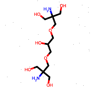 NC(CO)(CO)COCC(O)COCC(N)(CO)CO